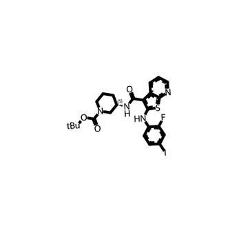 CC(C)(C)OC(=O)N1CCC[C@H](NC(=O)c2c(Nc3ccc(I)cc3F)sc3ncccc23)C1